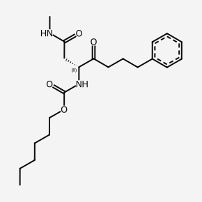 CCCCCCOC(=O)N[C@H](CC(=O)NC)C(=O)CCCc1ccccc1